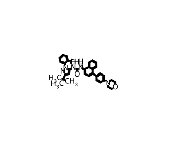 Cc1ccccc1-n1nc(C(C)(C)C)cc1NC(=O)Nc1ccc(-c2ccc(N3CCOCC3)cc2)c2ccccc12